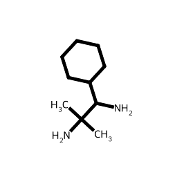 CC(C)(N)C(N)C1CCCCC1